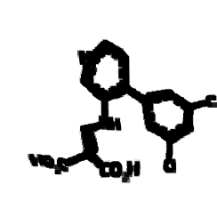 O=C(O)C(=CNc1cnccc1-c1cc(Cl)cc(Cl)c1)C(=O)O